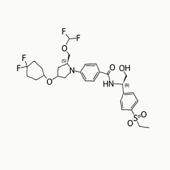 CCS(=O)(=O)c1ccc([C@H](CO)NC(=O)c2ccc(N3CC(OC4CCC(F)(F)CC4)C[C@H]3COC(F)F)cc2)cc1